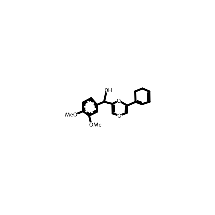 COc1ccc(C(O)C2=COC=C(C3=CC=CCC3)O2)cc1OC